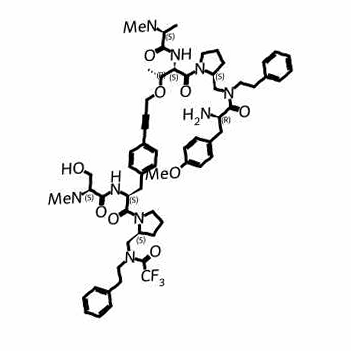 CN[C@@H](C)C(=O)N[C@H](C(=O)N1CCC[C@H]1CN(CCc1ccccc1)C(=O)[C@H](N)Cc1ccc(OC)cc1)[C@@H](C)OCC#Cc1ccc(C[C@H](NC(=O)[C@H](CO)NC)C(=O)N2CCC[C@H]2CN(CCc2ccccc2)C(=O)C(F)(F)F)cc1